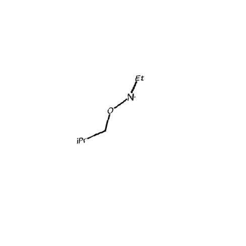 CC[N]OCC(C)C